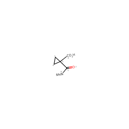 CNC(=O)C1(C(=O)O)CC1